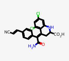 N#C/C=C/c1ccc(/C(C(N)=O)=C2/CC(C(=O)O)Nc3cc(Cl)cc(Cl)c32)cc1